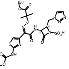 CC(C)(C)OC(=O)Nc1nc(C(=NOC(C)(C)C(=O)OC(C)(C)C)C(=O)N[C@@H]2C(=O)N(S(=O)(=O)O)[C@@H]2Cn2ccnn2)cs1